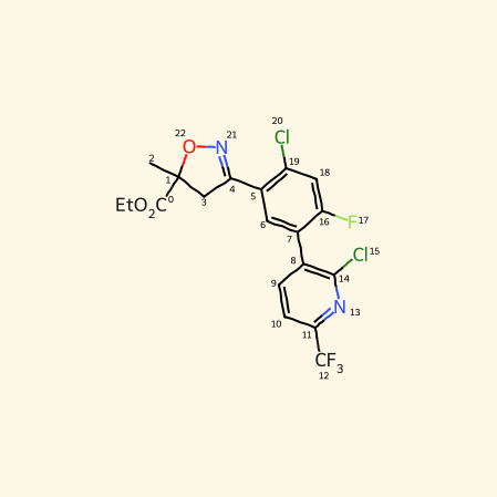 CCOC(=O)C1(C)CC(c2cc(-c3ccc(C(F)(F)F)nc3Cl)c(F)cc2Cl)=NO1